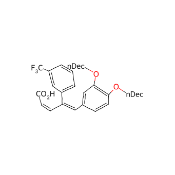 CCCCCCCCCCOc1ccc(/C=C(/C=C\C(=O)O)c2cccc(C(F)(F)F)c2)cc1OCCCCCCCCCC